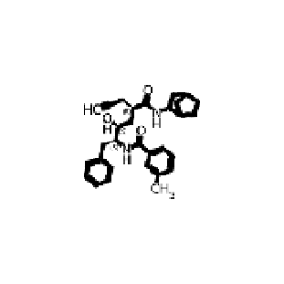 C#CC[C@H](C[C@H](O)[C@H](Cc1ccccc1)NC(=O)c1cccc(C)c1)C(=O)NC1CC2CCC1C2